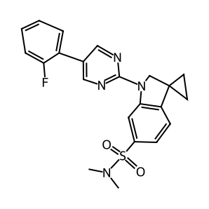 CN(C)S(=O)(=O)c1ccc2c(c1)N(c1ncc(-c3ccccc3F)cn1)CC21CC1